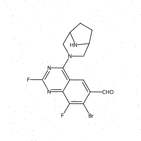 O=Cc1cc2c(N3CC4CCC(C3)N4)nc(F)nc2c(F)c1Br